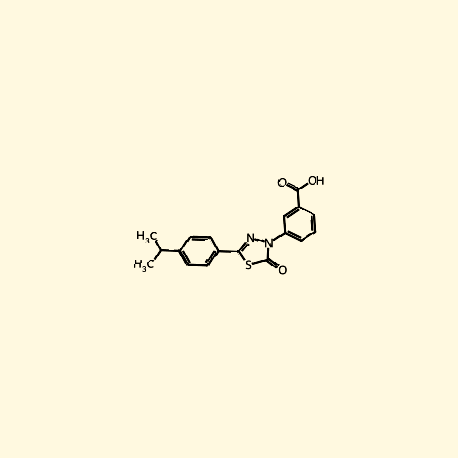 CC(C)c1ccc(-c2nn(-c3cccc(C(=O)O)c3)c(=O)s2)cc1